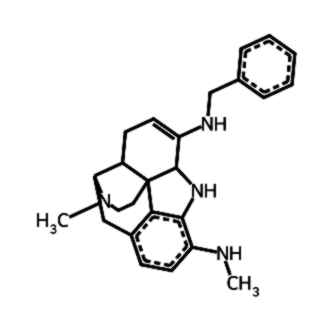 CNc1ccc2c3c1NC1C(NCc4ccccc4)=CCC4C(C2)N(C)CCC314